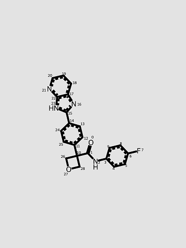 O=C(Nc1ccc(F)cc1)C1(c2ccc(-c3nc4cccnc4[nH]3)cc2)COC1